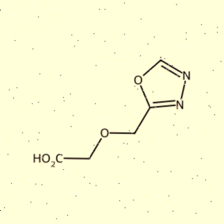 O=C(O)COCc1nn[c]o1